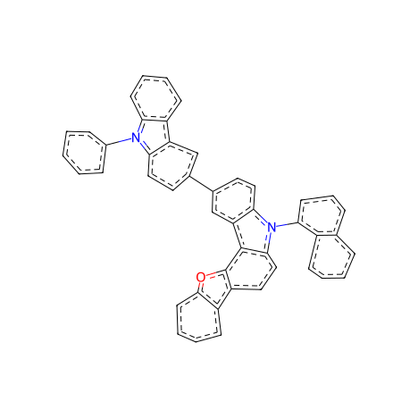 c1ccc(-n2c3ccccc3c3cc(-c4ccc5c(c4)c4c6oc7ccccc7c6ccc4n5-c4cccc5ccccc45)ccc32)cc1